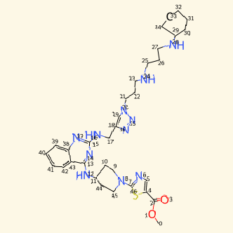 COC(=O)c1cnc(N2CCC(Nc3nc(NCc4cn(CCCNCCCNC5CCCCC5)nn4)nc4ccccc34)CC2)s1